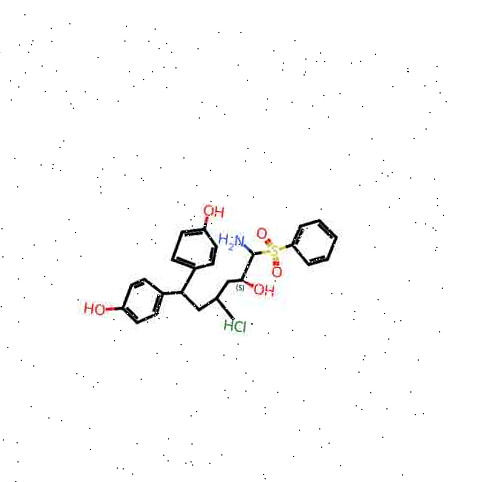 CC(CC(c1ccc(O)cc1)c1ccc(O)cc1)C[C@H](O)C(N)S(=O)(=O)c1ccccc1.Cl